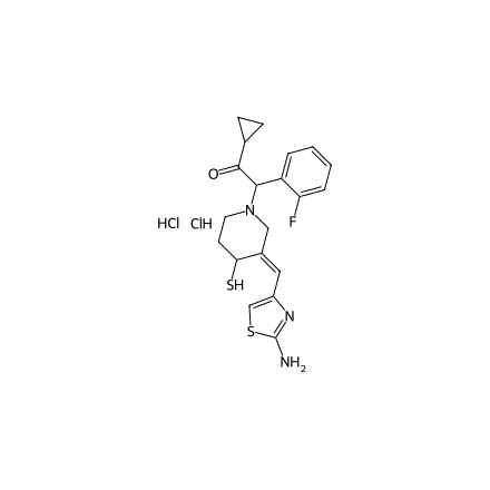 Cl.Cl.Nc1nc(C=C2CN(C(C(=O)C3CC3)c3ccccc3F)CCC2S)cs1